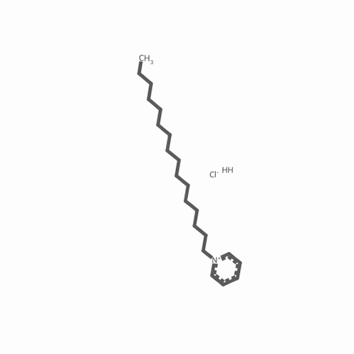 CCCCCCCCCCCCCCCC[n+]1ccccc1.[Cl-].[HH]